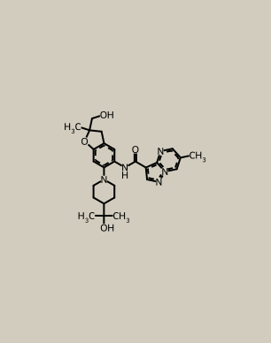 Cc1cnc2c(C(=O)Nc3cc4c(cc3N3CCC(C(C)(C)O)CC3)OC(C)(CO)C4)cnn2c1